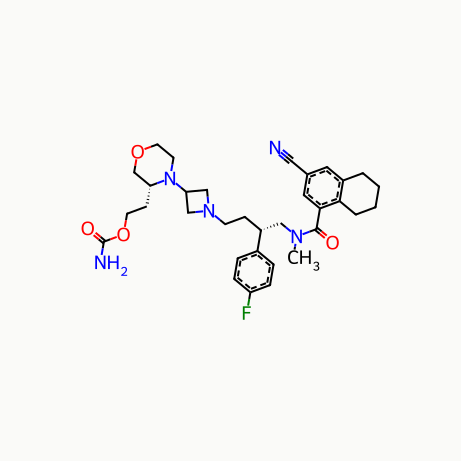 CN(C[C@@H](CCN1CC(N2CCOC[C@H]2CCOC(N)=O)C1)c1ccc(F)cc1)C(=O)c1cc(C#N)cc2c1CCCC2